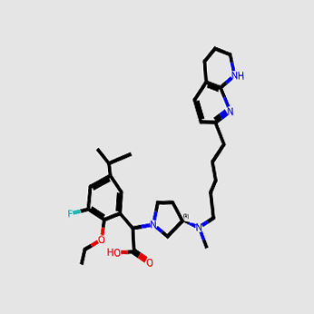 CCOc1c(F)cc(C(C)C)cc1C(C(=O)O)N1CC[C@@H](N(C)CCCCCc2ccc3c(n2)NCCC3)C1